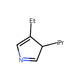 CCC1=CN=CC1C(C)C